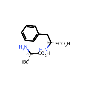 CCC(C)[C@H](N)C(=O)O.N[C@H](Cc1ccccc1)C(=O)O